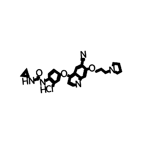 N#Cc1cc2c(Oc3ccc(NC(=O)NC4CC4)c(Cl)c3)ccnc2cc1OCCCN1CCCC1